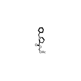 CC(=O)OCOC(=O)C1=CN(Cc2ccccc2)C=CC1